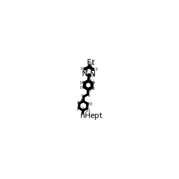 CCCCCCCC1CCC(CCc2ccc(-c3ncc(CC)cn3)cc2)CC1